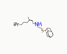 CC(C)CCCC(C)CCNCCSC1C2CC3CC(C2)CC1C3